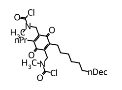 CCCCCCCCCCCCCCCCC1=C(CN(C)C(=O)Cl)C(=O)C(CCC)=C(CN(C)C(=O)Cl)C1=O